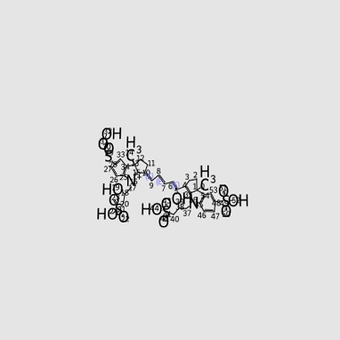 CC12CCC(/C=C/C=C/C=C3\CCC4(C)C3=[N+](CC(O)CS(=O)(=O)O)c3ccc(SOOO)cc34)=C1N(CC(O)CS(=O)(=O)O)c1ccc(S(=O)(=O)O)cc12